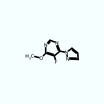 COc1ncnc(-n2cccn2)c1F